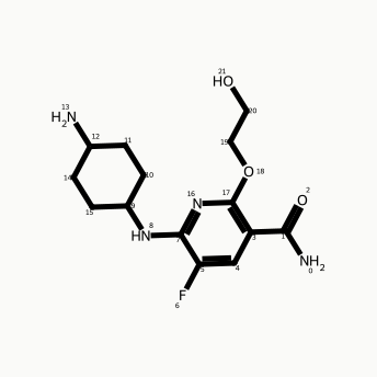 NC(=O)c1cc(F)c(NC2CCC(N)CC2)nc1OCCO